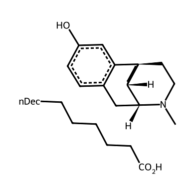 CCCCCCCCCCCCCCCC(=O)O.CN1CC[C@]23CCCC[C@H]2[C@H]1Cc1ccc(O)cc13